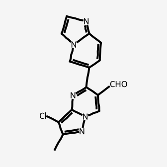 Cc1nn2cc(C=O)c(-c3ccc4nccn4c3)nc2c1Cl